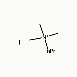 CCC[N+](C)(C)C.[I-]